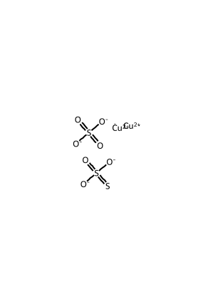 O=S(=O)([O-])[O-].O=S([O-])([O-])=S.[Cu+2].[Cu+2]